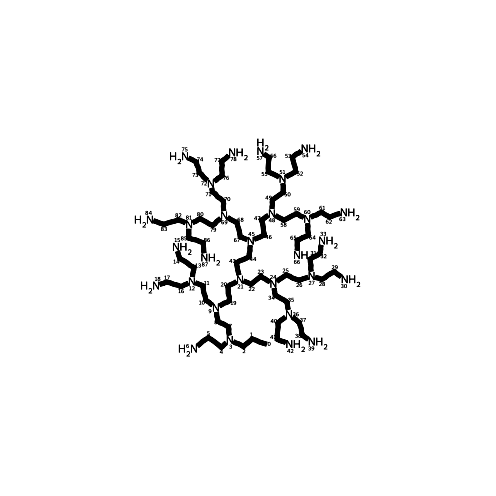 CCCN(CCN)CCN(CCN(CCN)CCN)CCN(CCN(CCN(CCN)CCN)CCN(CCN)CCN)CCN(CCN(CCN(CCN)CCN)CCN(CCN)CCN)CCN(CCN(CCN)CCN)CCN(CCN)CCN